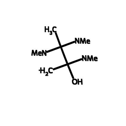 [CH2]C(O)(NC)C(C)(NC)NC